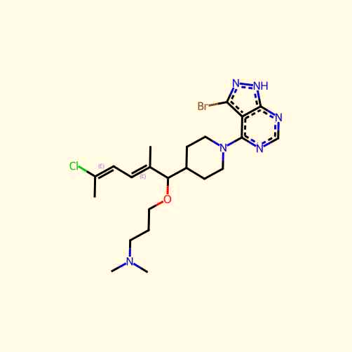 C/C(Cl)=C\C=C(/C)C(OCCCN(C)C)C1CCN(c2ncnc3[nH]nc(Br)c23)CC1